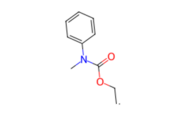 [CH2]COC(=O)N(C)c1ccccc1